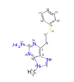 Cn1cnc2c(CCSc3ccccc3)nc(N)nc21